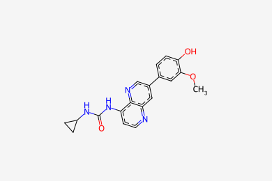 COc1cc(-c2cnc3c(NC(=O)NC4CC4)ccnc3c2)ccc1O